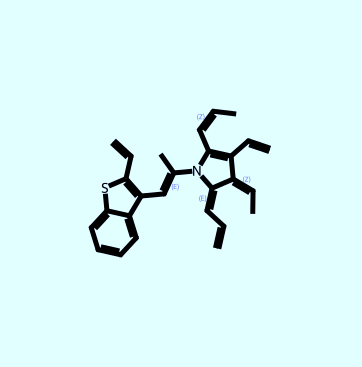 C=C/C=c1\c(=C/C)c(C=C)c(/C=C\C)n1/C(C)=C/c1c(C=C)sc2ccccc12